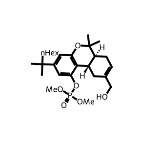 CCCCCCC(C)(C)c1cc2c(c(OP(=O)(OC)OC)c1)[C@H]1CC(CO)=CC[C@@H]1C(C)(C)O2